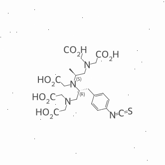 C[C@@H](CN(CC(=O)O)CC(=O)O)N(CC(=O)O)[C@H](Cc1ccc(N=C=S)cc1)CN(CC(=O)O)CC(=O)O